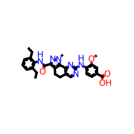 CCc1cccc(CC)c1NC(=O)c1nn(C)c2c1CCc1cnc(Nc3ccc(C(=O)O)cc3OC)nc1-2